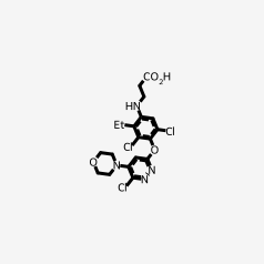 CCc1c(NCCC(=O)O)cc(Cl)c(Oc2cc(N3CCOCC3)c(Cl)nn2)c1Cl